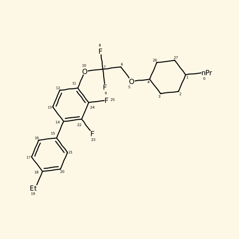 CCCC1CCC(OCC(F)(F)Oc2ccc(-c3ccc(CC)cc3)c(F)c2F)CC1